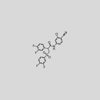 N#Cc1ccc(NC(=O)C(CS(=O)(=O)c2ccc(F)c(F)c2)c2ccc(F)c(F)c2)cc1Cl